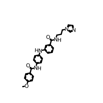 COc1ccc(C(=O)Nc2ccc(Nc3cccc(C(=O)NCCCn4ccnc4)c3)cc2)cc1